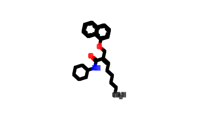 O=C(O)CCCCC=C(COc1cccc2ccccc12)C(=O)NC1CCCCC1